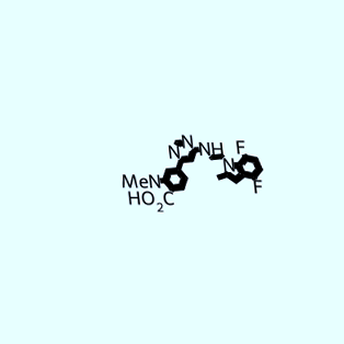 CNc1cc(-c2cc(NCCn3c(C)cc4c(F)ccc(F)c43)ncn2)ccc1C(=O)O